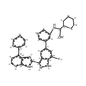 OC(Nc1cncc(-c2cc(F)c3[nH]nc(-c4nc5c(-c6ccccn6)ccnc5[nH]4)c3c2)c1)C1CCCCC1